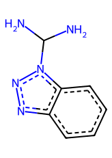 NC(N)n1nnc2ccccc21